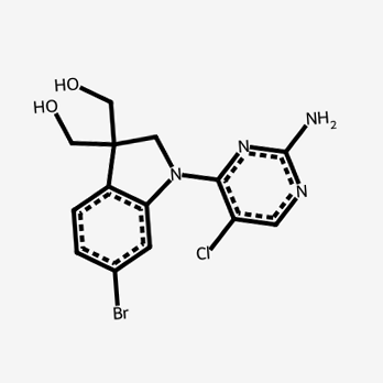 Nc1ncc(Cl)c(N2CC(CO)(CO)c3ccc(Br)cc32)n1